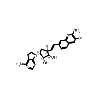 C[C@]1(/C=C/c2ccc3cc(Br)c(N)nc3c2)C[C@@H](N2CCc3c(N)ncnc32)[C@H](O)[C@@H]1O